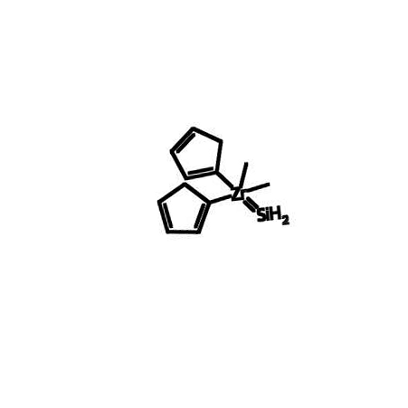 [CH3][Zr]([CH3])(=[SiH2])([C]1=CC=CC1)[C]1=CC=CC1